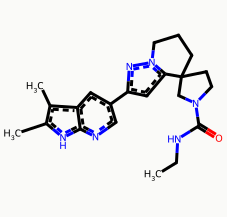 CCNC(=O)N1CCC2(CCCn3nc(-c4cnc5[nH]c(C)c(C)c5c4)cc32)C1